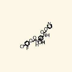 O=C(COc1cccnc1)NC12CCC(NC(=O)COc3ccc(Cl)c(F)c3)(CC1)[C@@H](O)C2